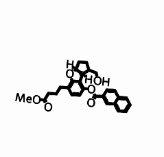 COC(=O)CCCc1ccc(OC(=O)c2ccc3ccccc3c2)c2c1O[C@@H]1CCC(CO)[C@H]21